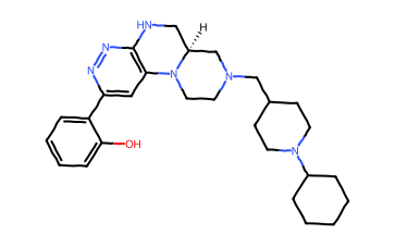 Oc1ccccc1-c1cc2c(nn1)NC[C@H]1CN(CC3CCN(C4CCCCC4)CC3)CCN21